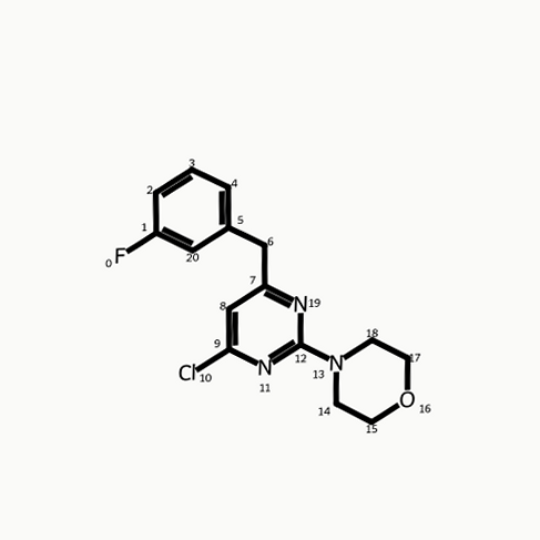 Fc1cccc(Cc2cc(Cl)nc(N3CCOCC3)n2)c1